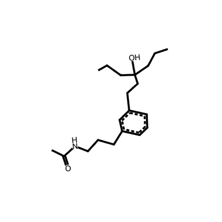 CCCC(O)(CCC)CCc1cccc(CCCNC(C)=O)c1